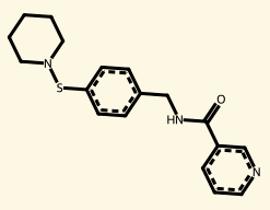 O=C(NCc1ccc(SN2CCCCC2)cc1)c1cccnc1